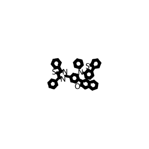 c1ccc(-c2nc(-c3cc(N(c4ccccc4)c4cccc5c4sc4ccccc45)c4c(c3)oc3cc5ccccc5cc34)nc3c2sc2ccccc23)cc1